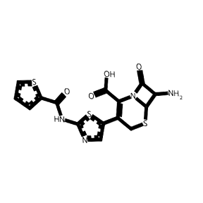 NC1C(=O)N2C(C(=O)O)=C(c3cnc(NC(=O)c4cccs4)s3)CSC12